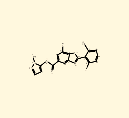 CC(C)n1nccc1NC(=O)c1cc(Cl)c2[nH]c(-c3c(F)cccc3Cl)nc2c1